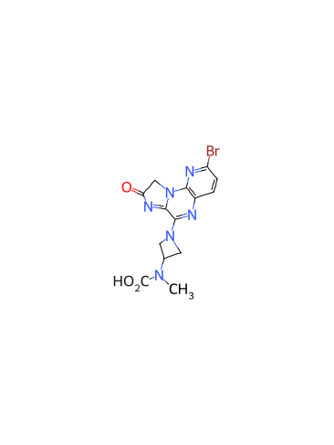 CN(C(=O)O)C1CN(C2=Nc3ccc(Br)nc3N3CC(=O)N=C23)C1